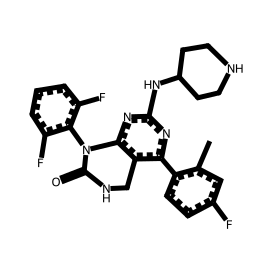 Cc1cc(F)ccc1-c1nc(NC2CCNCC2)nc2c1CNC(=O)N2c1c(F)cccc1F